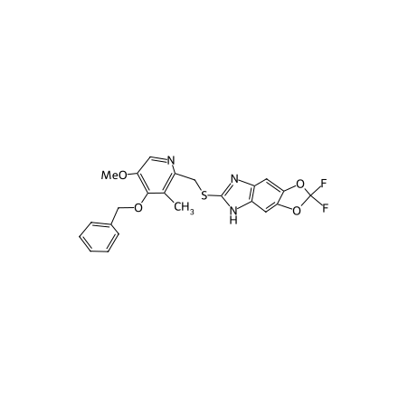 COc1cnc(CSc2nc3cc4c(cc3[nH]2)OC(F)(F)O4)c(C)c1OCc1ccccc1